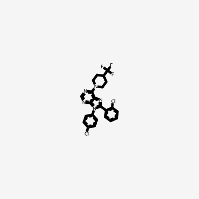 FC(F)(F)C1CCN(c2ncnc3c2nc(-c2ccccc2Cl)n3-c2ccc(Cl)cc2)CC1